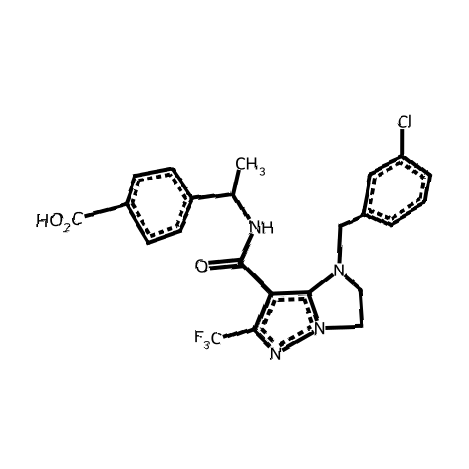 CC(NC(=O)c1c(C(F)(F)F)nn2c1N(Cc1cccc(Cl)c1)CC2)c1ccc(C(=O)O)cc1